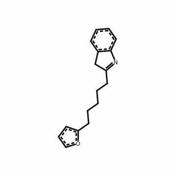 c1coc(CCCCCC2=Nc3ccccc3C2)c1